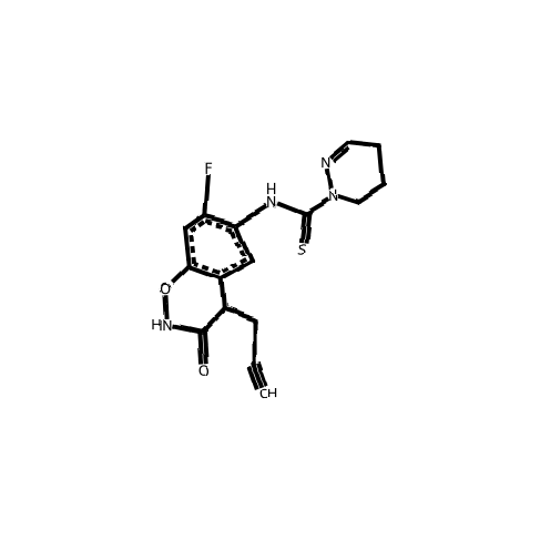 C#CCC1C(=O)NOc2cc(F)c(NC(=S)N3CCCC=N3)cc21